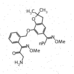 CCCC(=NOC)c1cc2c(c(OCc3ccccc3C(=NOC)C(=O)CN)c1)OC(C)(C)C2